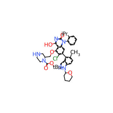 Cc1ccc2c(cnn2C2CCCCO2)c1-c1cc2c(c(O)nc(=O)n2-c2ccccc2C(C)C)c(OCC2CNCCN2C(=O)OC(C)(C)C)c1Cl